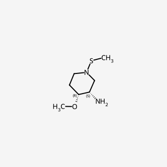 CO[C@@H]1CCN(SC)C[C@@H]1N